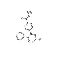 COC(=O)c1ccc(N(OC(F)F)C(=O)c2ccccc2)cc1